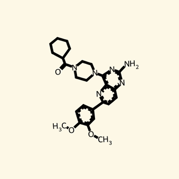 COc1ccc(-c2ccc3nc(N)nc(N4CCN(C(=O)C5CCCCC5)CC4)c3n2)cc1OC